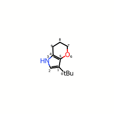 CC(C)(C)c1c[nH]c2c1OCCC2